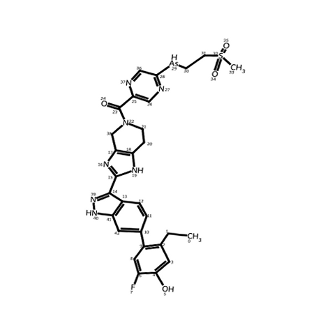 CCc1cc(O)c(F)cc1-c1ccc2c(-c3nc4c([nH]3)CCN(C(=O)c3cnc([AsH]CCS(C)(=O)=O)cn3)C4)n[nH]c2c1